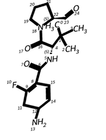 CC(C)(C)[C@H](NC(=O)C1=C(F)CC(N)C=C1)C(=O)N1CCC[C@H]1C=O